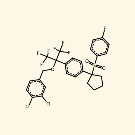 O=S(=O)(c1ccc(F)cc1)C1(c2ccc(C(OCc3ccc(Cl)c(Cl)c3)(C(F)(F)F)C(F)(F)F)cc2)CCCC1